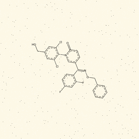 O=c1ccc(C(=NOCc2ccccc2)c2ccc(F)cc2F)cn1-c1c(Cl)cc(CO)cc1Cl